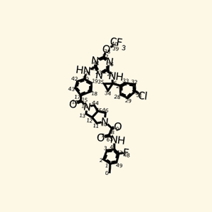 Cc1ccc(NC(=O)C(=O)N2CC3CN(C(=O)c4ccc(Nc5nc(NC6(c7ccc(Cl)cc7)CC6)nc(OCC(F)(F)F)n5)cc4)CC3C2)c(F)c1